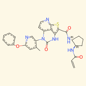 C=CC(=O)N[C@@H]1CCC[C@H]1NC(=O)c1sc2nccc3c2c1NC(=O)N3c1cnc(Oc2ccccc2)cc1C